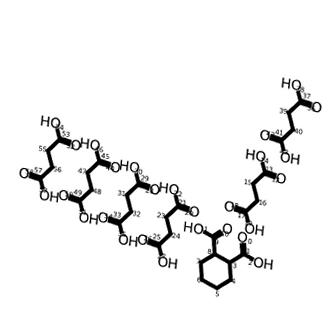 O=C(O)C1CCCCC1C(=O)O.O=C(O)CCC(=O)O.O=C(O)CCC(=O)O.O=C(O)CCC(=O)O.O=C(O)CCC(=O)O.O=C(O)CCC(=O)O.O=C(O)CCC(=O)O